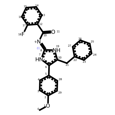 COc1ccc(-c2[nH]/c(=N/C(=O)c3ccccc3F)[nH]c2Cc2ccccc2)cc1